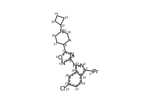 CC(C)c1nn(-c2noc(C3CCN(C4CCC4)CC3)n2)c2cc(Cl)ccc12